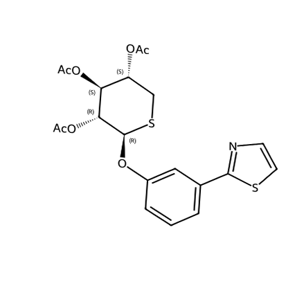 CC(=O)O[C@@H]1[C@@H](OC(C)=O)[C@H](OC(C)=O)CS[C@H]1Oc1cccc(-c2nccs2)c1